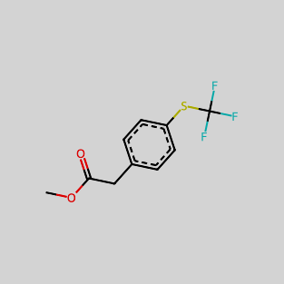 COC(=O)Cc1ccc(SC(F)(F)F)cc1